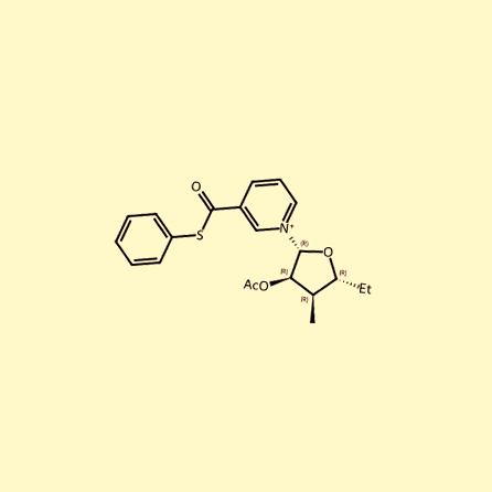 CC[C@H]1O[C@@H]([n+]2cccc(C(=O)Sc3ccccc3)c2)[C@H](OC(C)=O)[C@@H]1C